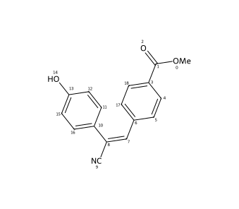 COC(=O)c1ccc(C=C(C#N)c2ccc(O)cc2)cc1